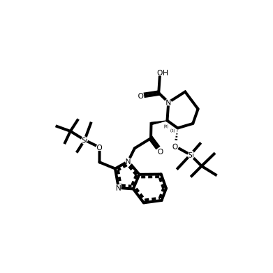 CC(C)(C)[Si](C)(C)OCc1nc2ccccc2n1CC(=O)C[C@@H]1[C@@H](O[Si](C)(C)C(C)(C)C)CCCN1C(=O)O